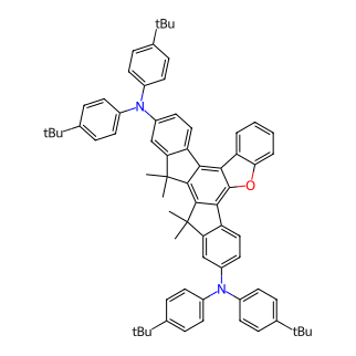 CC(C)(C)c1ccc(N(c2ccc(C(C)(C)C)cc2)c2ccc3c(c2)C(C)(C)c2c4c(c5c(oc6ccccc65)c2-3)-c2ccc(N(c3ccc(C(C)(C)C)cc3)c3ccc(C(C)(C)C)cc3)cc2C4(C)C)cc1